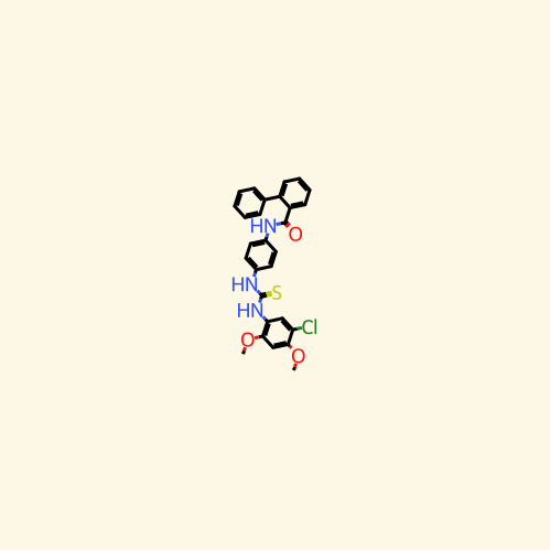 COc1cc(OC)c(NC(=S)Nc2ccc(NC(=O)c3ccccc3-c3ccccc3)cc2)cc1Cl